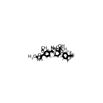 COc1cc(-c2nnc3n2CCCC3(Oc2ccc(F)c(C(F)(F)F)c2)C(C)(C)O)ccc1-c1cnc(C)o1